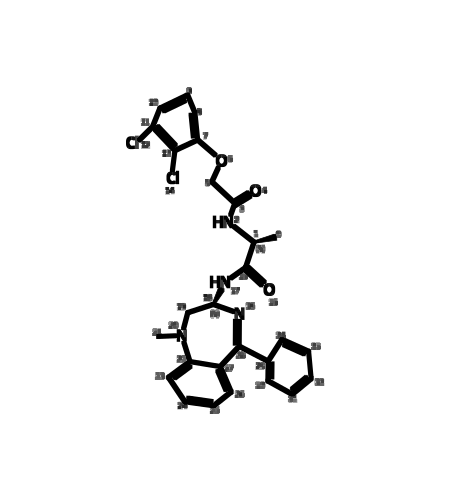 C[C@H](NC(=O)COc1cccc(Cl)c1Cl)C(=O)N[C@@H]1CN(C)c2ccccc2C(c2ccccc2)=N1